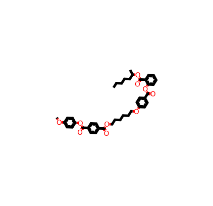 CCCCCC(C)OC(=O)c1ccccc1OC(=O)c1ccc(OCCCCCCOC(=O)c2ccc(C(=O)Oc3ccc(OC)cc3)cc2)cc1